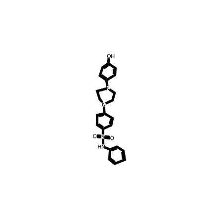 O=S(=O)(Nc1[c]cccc1)c1ccc(N2CCN(c3ccc(O)cc3)CC2)cc1